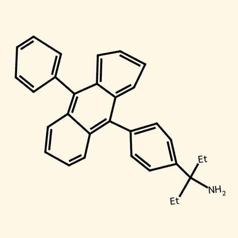 CCC(N)(CC)c1ccc(-c2c3ccccc3c(-c3ccccc3)c3ccccc23)cc1